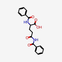 O=C(CCC(NC(=O)c1ccccc1)C(=O)O)NC(=O)c1ccccc1